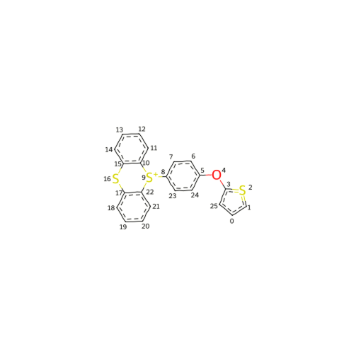 c1csc(Oc2ccc([S+]3c4ccccc4Sc4ccccc43)cc2)c1